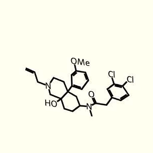 C=CCN1CCC2(c3cccc(OC)c3)CC(N(C)C(=O)Cc3ccc(Cl)c(Cl)c3)CCC2(O)C1